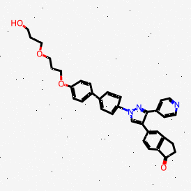 O=C1CCc2cc(-c3cn(-c4ccc(-c5ccc(OCCCOCCCO)cc5)cc4)nc3-c3ccncc3)ccc21